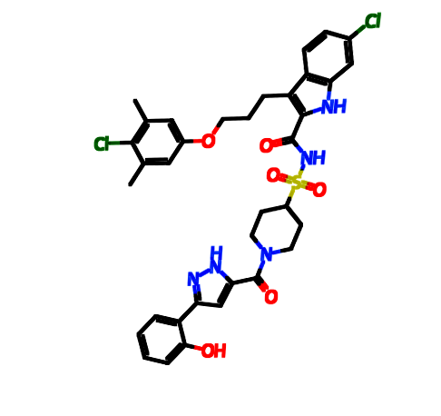 Cc1cc(OCCCc2c(C(=O)NS(=O)(=O)C3CCN(C(=O)c4cc(-c5ccccc5O)n[nH]4)CC3)[nH]c3cc(Cl)ccc23)cc(C)c1Cl